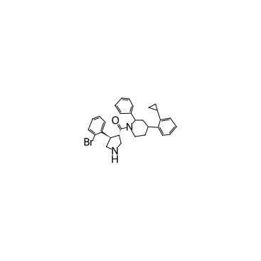 O=C([C@@H]1CNC[C@H]1c1ccccc1Br)N1CCC(c2ccccc2C2CC2)CC1c1ccccc1